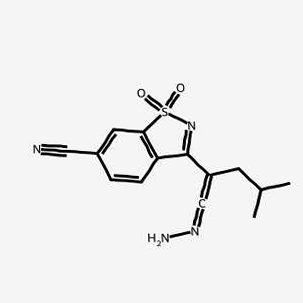 CC(C)CC(=C=NN)C1=NS(=O)(=O)c2cc(C#N)ccc21